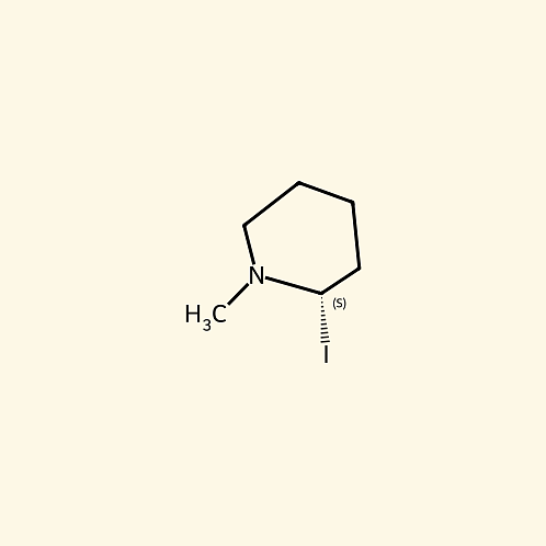 CN1CCCC[C@@H]1I